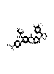 C=CC(=O)Nc1cc(Nc2cc(N3OCCC3c3ccc(F)c(C(F)(F)F)c3)ncn2)c(OC)cc1N1CCC(N(CC)CC)CC1